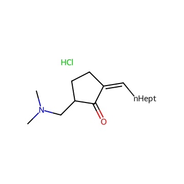 CCCCCCCC=C1CCC(CN(C)C)C1=O.Cl